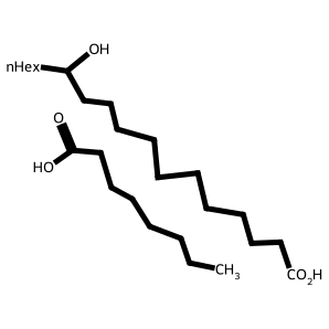 CCCCCCC(O)CCCCCCCCCCC(=O)O.CCCCCCCC(=O)O